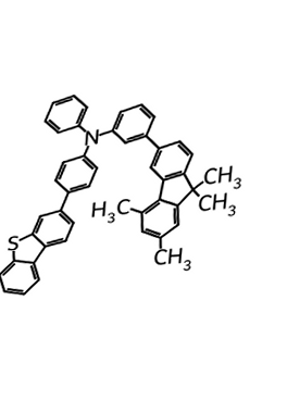 Cc1cc(C)c2c(c1)C(C)(C)c1ccc(-c3cccc(N(c4ccccc4)c4ccc(-c5ccc6c(c5)sc5ccccc56)cc4)c3)cc1-2